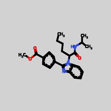 CCCCC(C(=O)NC(C)C)n1c(-c2ccc(C(=O)OC)cc2)nc2ccccc21